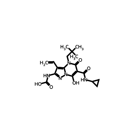 C=Cc1c(NC(=O)O)nn2c(O)c(C(=O)NC3CC3)c(=O)n(CC(C)(C)C)c12